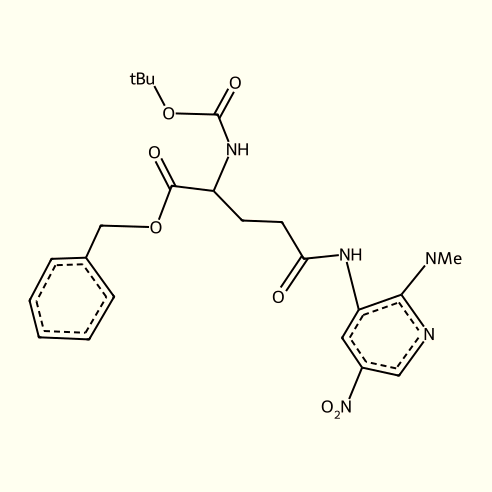 CNc1ncc([N+](=O)[O-])cc1NC(=O)CCC(NC(=O)OC(C)(C)C)C(=O)OCc1ccccc1